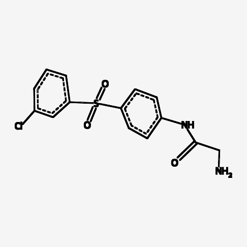 NCC(=O)Nc1ccc(S(=O)(=O)c2cccc(Cl)c2)cc1